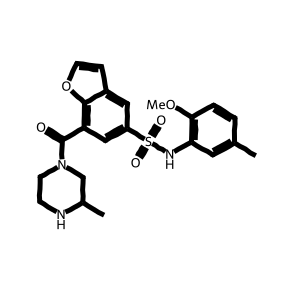 COc1ccc(C)cc1NS(=O)(=O)c1cc(C(=O)N2CCNC(C)C2)c2occc2c1